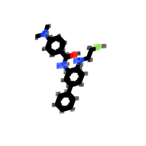 CN(C)c1ccc(C(=O)Nc2cc(-c3ccccc3)ccc2NCC[18F])cc1